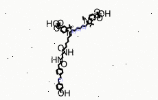 CC[N+]1=C(/C=C/C=C/C=C2/N(CCCCCC(=O)NCCNC(=O)Cc3ccc(/C=C/c4ccc(O)cc4)cc3)c3ccc(S(=O)(=O)O)cc3C2(C)C)C(C)(C)c2cc(S(=O)(=O)O)ccc21